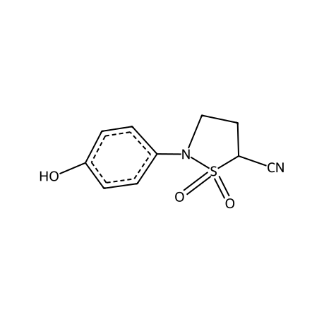 N#CC1CCN(c2ccc(O)cc2)S1(=O)=O